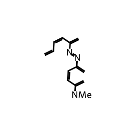 C=C/C=C\C(=C)N=NC(=C)/C=C\C(=C)NC